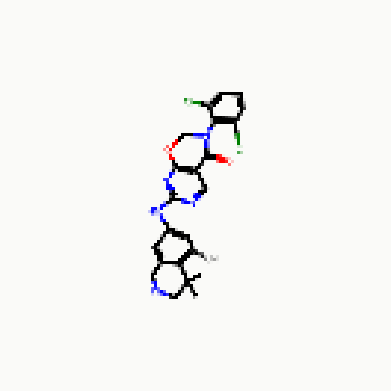 CC1(C)CNCc2cc(Nc3ncc4c(n3)OCN(c3c(Cl)cccc3Cl)C4=O)cc(C#N)c21